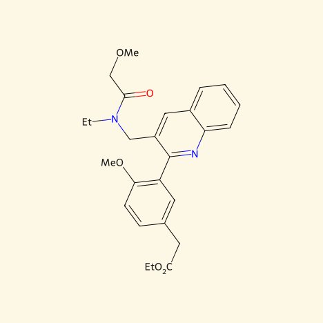 CCOC(=O)Cc1ccc(OC)c(-c2nc3ccccc3cc2CN(CC)C(=O)COC)c1